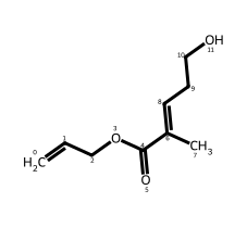 C=CCOC(=O)C(C)=CCCO